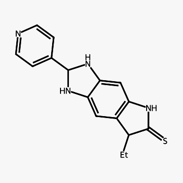 CCC1C(=S)Nc2cc3c(cc21)NC(c1ccncc1)N3